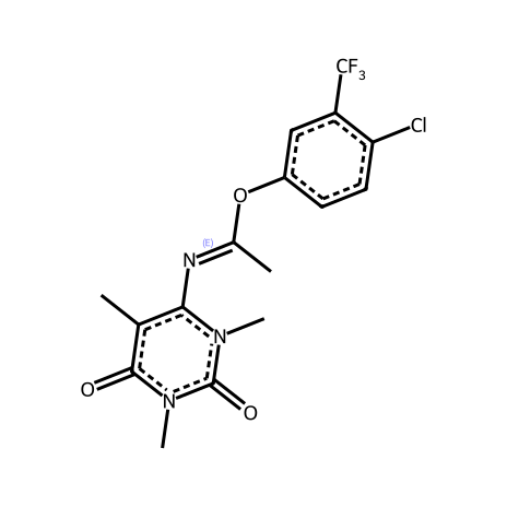 C/C(=N\c1c(C)c(=O)n(C)c(=O)n1C)Oc1ccc(Cl)c(C(F)(F)F)c1